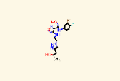 CC(O)Cc1cn(CCNc2nonc2C(=NO)Nc2ccc(F)c(Br)c2)nn1